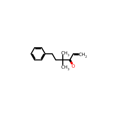 C=CC(=O)C(C)(C)CCc1ccccc1